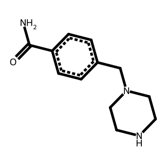 NC(=O)c1ccc(CN2CCNCC2)cc1